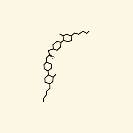 CCCCCC1CCC(C2CCC(CC(=O)CC3CCC(C4CCC(CCCCC)CC4C)CC3)CC2)C(C)C1